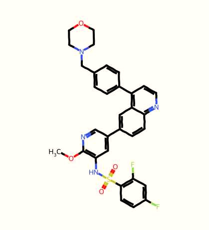 COc1ncc(-c2ccc3nccc(-c4ccc(CN5CCOCC5)cc4)c3c2)cc1NS(=O)(=O)c1ccc(F)cc1F